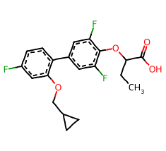 CCC(Oc1c(F)cc(-c2ccc(F)cc2OCC2CC2)cc1F)C(=O)O